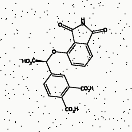 O=C(O)c1ccc([C@H](Oc2cccc3c2C(=O)NC3=O)C(=O)O)cc1C(=O)O